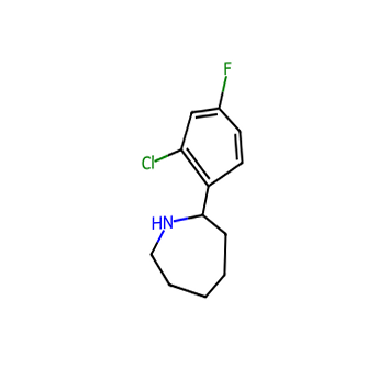 Fc1ccc(C2CCCCCN2)c(Cl)c1